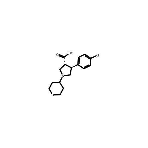 O=C(O)[C@H]1CN(C2CCOCC2)C[C@@H]1c1ccc(Cl)cc1